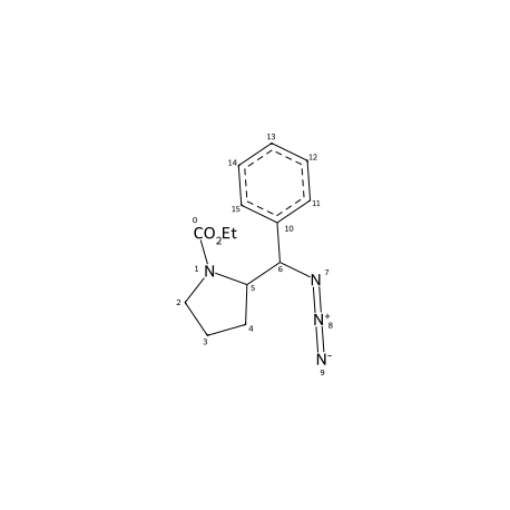 CCOC(=O)N1CCCC1C(N=[N+]=[N-])c1ccccc1